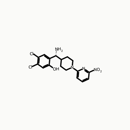 N[C@@H](c1cc(Cl)c(Cl)cc1O)C1CCN(c2cccc([N+](=O)[O-])n2)CC1